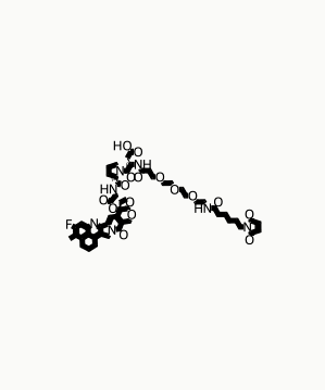 CC[C@@]1(OC(=O)CNC(=O)[C@@H]2CCCN2C(=O)[C@H](CC(=O)O)NC(=O)CCOCCOCCOCCNC(=O)CCCCCN2C(=O)C=CC2=O)C(=O)OCc2c1cc1n(c2=O)Cc2c-1nc1cc(F)c(C)c3c1c2CCC3